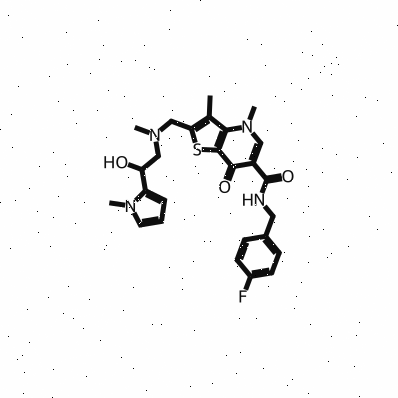 Cc1c(CN(C)CC(O)c2cccn2C)sc2c(=O)c(C(=O)NCc3ccc(F)cc3)cn(C)c12